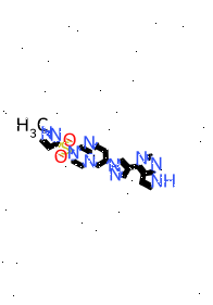 Cn1ccc(S(=O)(=O)N2CCN(CC(CC#N)n3cc(-c4ncnc5[nH]ccc45)cn3)CC2)n1